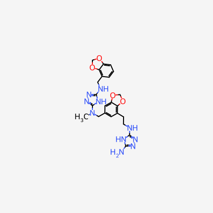 CN(Cc1cc(CCNc2nnc(N)[nH]2)c2c(c1)OCO2)c1nnc(NCc2cccc3c2OCO3)[nH]1